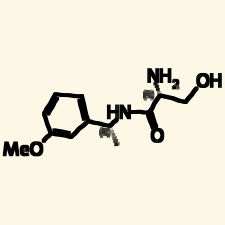 COc1cccc([C@@H](C)NC(=O)[C@H](N)CO)c1